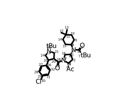 CC(=O)[C@H]1C[C@H](N(C(=O)C(C)(C)C)C2CCC(C)(C)CC2)CN1C(=O)C1CN(C(C)(C)C)CC1c1ccc(Cl)cc1